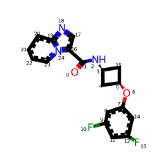 O=C(N[C@H]1C[C@H](Oc2cc(F)cc(F)c2)C1)c1cnc2ccccn12